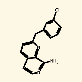 Nc1nccc2ccc(Cc3cccc(Cl)c3)nc12